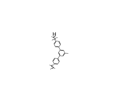 Cc1cc(-c2ccc(S(C)(C)C)cc2)cc(-c2ccc([SH](C)(C)(C)C)cc2)c1